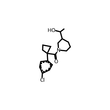 CC(O)C1CCCN(C(=O)C2(c3ccc(Cl)cc3)CCC2)C1